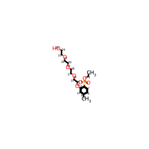 CCOS(=O)(=O)c1ccc(C)cc1OCCOCCOCCOCCO